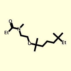 CCC(=O)N(C)CCOC(C)(C)CCCC(C)(C)CC